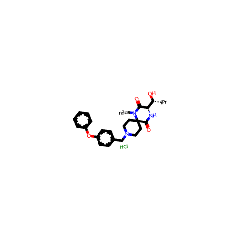 CCCCN1C(=O)[C@H]([C@H](O)C(C)C)NC(=O)C12CCN(Cc1ccc(Oc3ccccc3)cc1)CC2.Cl